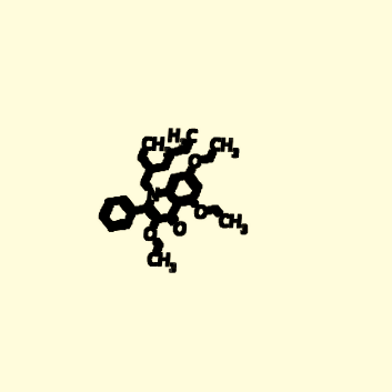 CCCCC(CC)Cn1c(-c2ccccc2)c(OCC)c(=O)c2c(OCC)cc(OCC)cc21